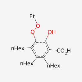 CCCCCCc1c(CCCCCC)c(OOCC)c(O)c(C(=O)O)c1CCCCCC